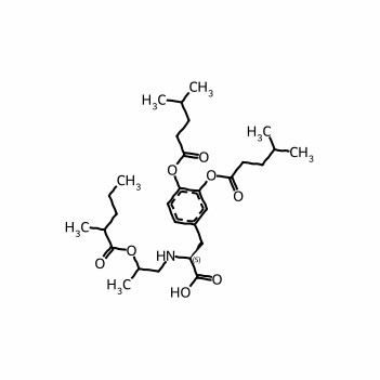 CCCC(C)C(=O)OC(C)CN[C@@H](Cc1ccc(OC(=O)CCC(C)C)c(OC(=O)CCC(C)C)c1)C(=O)O